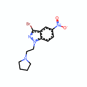 O=[N+]([O-])c1ccc2c(c1)c(Br)nn2CCN1CCCC1